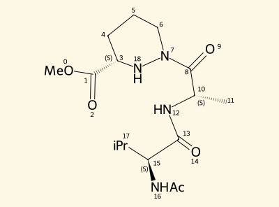 COC(=O)[C@@H]1CCCN(C(=O)[C@H](C)NC(=O)[C@@H](NC(C)=O)C(C)C)N1